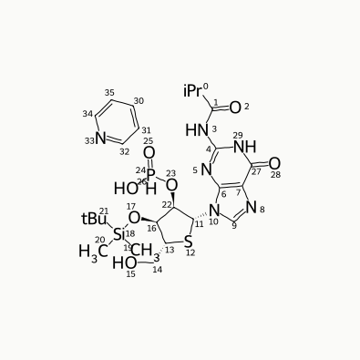 CC(C)C(=O)Nc1nc2c(ncn2[C@@H]2S[C@H](CO)[C@@H](O[Si](C)(C)C(C)(C)C)[C@H]2O[PH](=O)O)c(=O)[nH]1.c1ccncc1